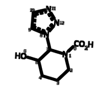 O=C(O)N1CCCC(O)C1n1ccnn1